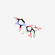 O=c1ccn([C@@H]2O[C@@](CO)(CCl)[C@@H](O)[C@@H]2F)c(=O)[nH]1